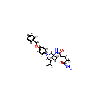 CC(C)CCN(CC1(NC(=O)[CH]CC(C)C(N)=O)CCC1)c1ccc(OCc2ccccc2)cc1